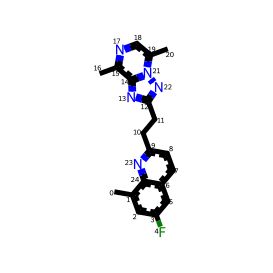 Cc1cc(F)cc2ccc(CCc3nc4c(C)ncc(C)n4n3)nc12